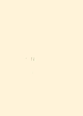 CON(CCCC(C)C)C(C)=O